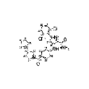 NC(=O)c1nn(-c2c(Cl)cccc2Cl)cc1Nc1ccc(C(=O)N2CC[C@H](N3CCCC3)C2)cc1